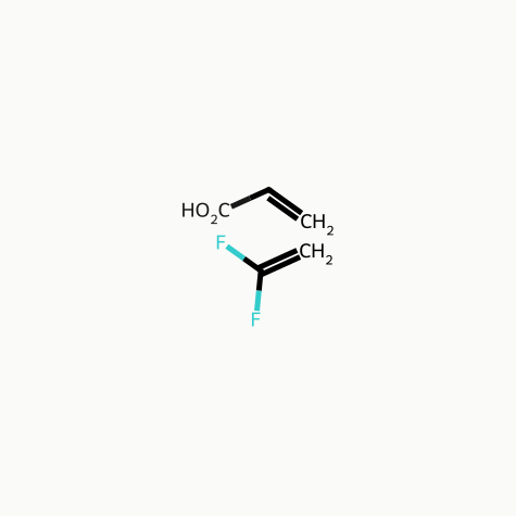 C=C(F)F.C=CC(=O)O